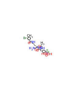 CC(=O)N[C@@H](Cc1ccc(C(F)(F)P(=O)(O)O)cc1)C(=O)N[C@@H](CCCCNC(=O)c1ccc(C)c(Br)c1)C(N)=O